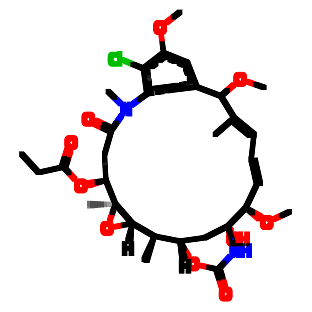 CCC(=O)O[C@H]1CC(=O)N(C)c2cc(cc(OC)c2Cl)C(OC)/C(C)=C/C=C/[C@@H](OC)[C@@]2(O)C[C@H](OC(=O)N2)[C@@H](C)[C@@H]2O[C@@]12C